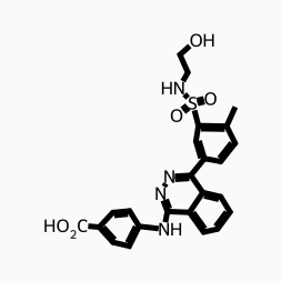 Cc1ccc(-c2nnc(Nc3ccc(C(=O)O)cc3)c3ccccc23)cc1S(=O)(=O)NCCO